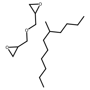 C(OCC1CO1)C1CO1.CCCCCCC(C)CCCC